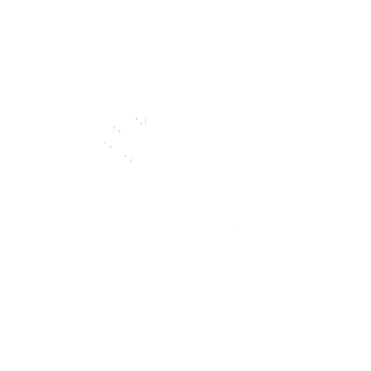 OB1OCc2ccc(CCc3nnn[nH]3)cc21